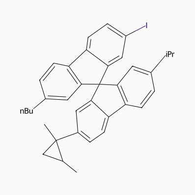 CCCCc1ccc2c(c1)C1(c3cc(I)ccc3-2)c2cc(C(C)C)ccc2-c2ccc(C3(C)CC3C)cc21